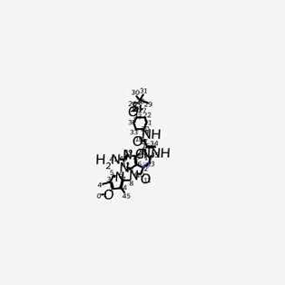 COc1c(C)cnc(CN2C(=O)/C(=C/c3nc(C(=O)N[C@H]4CC[C@H](O[Si](C)(C)C(C)(C)C)CC4)c[nH]3)c3c(Cl)nc(N)nc32)c1C